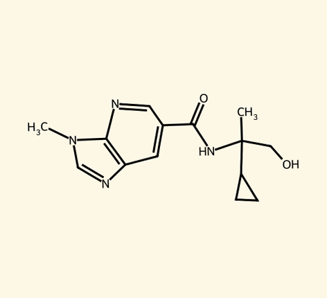 Cn1cnc2cc(C(=O)NC(C)(CO)C3CC3)cnc21